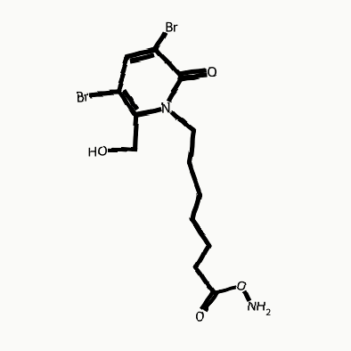 NOC(=O)CCCCCCn1c(CO)c(Br)cc(Br)c1=O